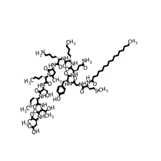 CCCCCCCCCCCCCCCC(=O)N[C@@H](CCSC)C(=O)NCC(=O)N[C@@H](Cc1ccc(O)cc1)C(=O)N[C@H](CCC(N)=O)C(=O)N[C@@H](CCCCC)C(=O)N[C@@H](CCCCN)C(=O)N[C@H]1CC(C)N([C@@H](CCCC)C(=O)N[C@@H](CO)C(=O)N[C@@H](CCSC)C(=O)N[C@H](C(=O)N[C@@H](CC(=O)O)C(C)=O)[C@@H](C)O)C1=O